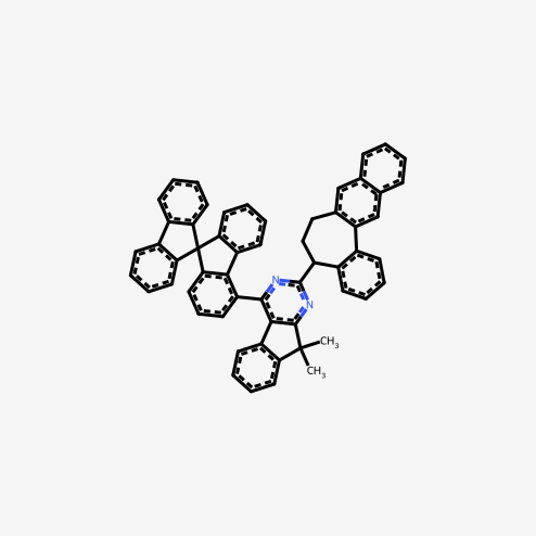 CC1(C)c2ccccc2-c2c(-c3cccc4c3-c3ccccc3C43c4ccccc4-c4ccccc43)nc(C3CCc4cc5ccccc5cc4-c4ccccc43)nc21